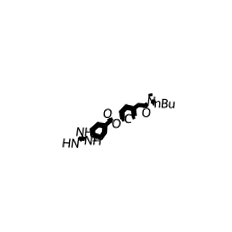 CCCCN(C)C(=O)Cc1ccc(OC(=O)c2ccc(NC(=N)N)cc2)cc1